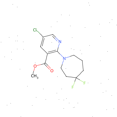 COC(=O)c1cc(Cl)cnc1N1CCCC(F)(F)CC1